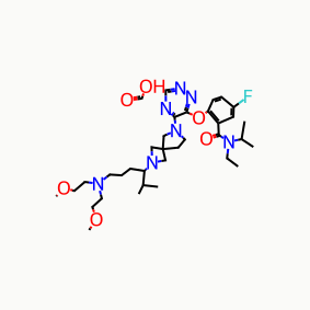 CCN(C(=O)c1cc(F)ccc1Oc1nncnc1N1CCC2(C1)CN(C(CCCN(CCOC)CCOC)C(C)C)C2)C(C)C.O=CO